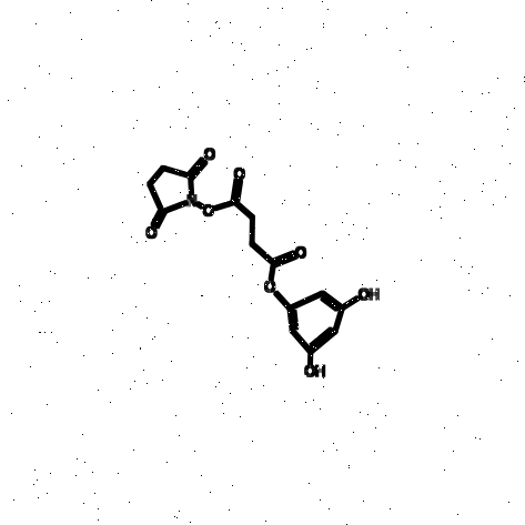 O=C(CCC(=O)ON1C(=O)CCC1=O)Oc1cc(O)cc(O)c1